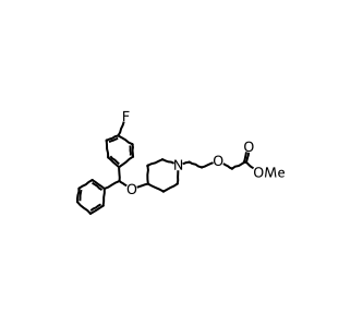 COC(=O)COCCN1CCC(OC(c2ccccc2)c2ccc(F)cc2)CC1